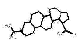 C=C(C)C1CCC2CCC3C4CCC5CC(C(C)C(=O)O)CCC5C4CCC3C21